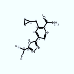 NC(=O)c1ncc(-c2nnc(C(F)F)o2)cc1CC1CC1